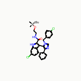 CC(C)(C)[Si](C)(C)OCCNC(=O)c1[nH]c2cc(Cl)ccc2c1-c1c(-c2ccccc2)ncn1Cc1ccc(Cl)cc1